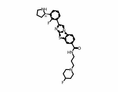 O=C(NCCCN1CCC(F)CC1)c1ccc2c(c1)sc1nc(-c3cccc([C@H]4CCCN4)c3F)cn12